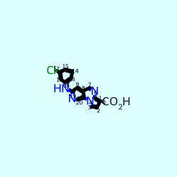 O=C(O)c1ccn2c1ncc1cc(Nc3cccc(Cl)c3)ncc12